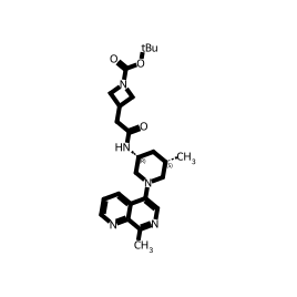 Cc1ncc(N2C[C@@H](C)C[C@@H](NC(=O)CC3CN(C(=O)OC(C)(C)C)C3)C2)c2cccnc12